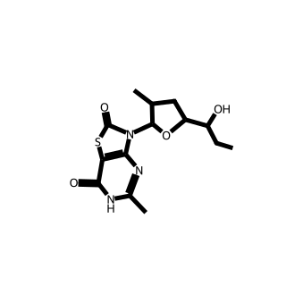 CCC(O)C1CC(C)C(n2c(=O)sc3c(=O)[nH]c(C)nc32)O1